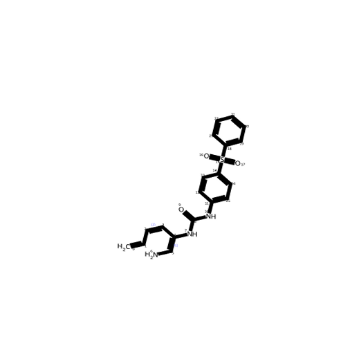 C=C/C=C\C(=C/N)NC(=O)Nc1ccc(S(=O)(=O)c2ccccc2)cc1